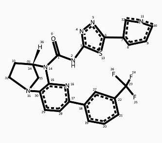 O=C(Nc1nnc(-c2cccnc2)s1)N1c2nc(-c3cccc(C(F)(F)F)c3)ccc2N2CC[C@H]1C2